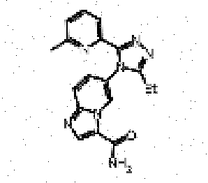 CCc1nnc(-c2cccc(C)n2)n1-c1ccc2ncc(C(N)=O)n2c1